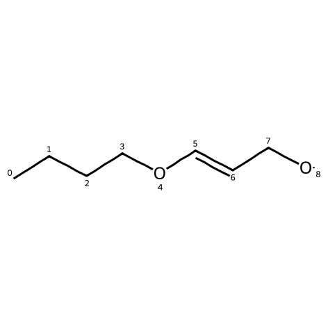 CCCCOC=CC[O]